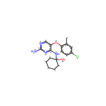 Cc1cc(Cl)ccc1Oc1cnc(N)nc1NC1(O)CCCCC1